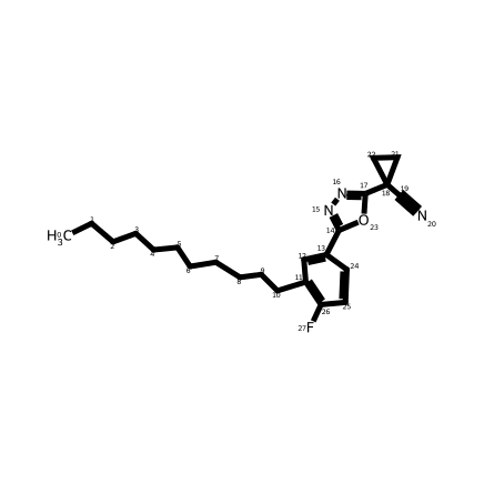 CCCCCCCCCCCc1cc(-c2nnc(C3(C#N)CC3)o2)ccc1F